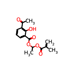 C=C(C)C(=O)OC(C)OC(=O)c1cccc(C(C)=O)c1O